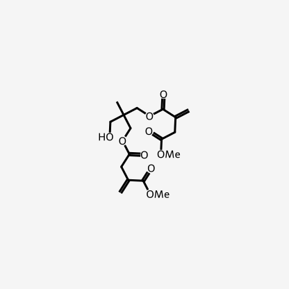 C=C(CC(=O)OCC(C)(CO)COC(=O)C(=C)CC(=O)OC)C(=O)OC